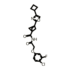 O=C(COc1ccc(Cl)c(F)c1)NC(=O)C12CC(c3nc(C4CCC4)co3)(C1)C2